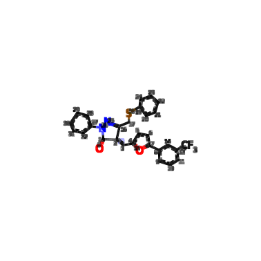 O=C1/C(=C/c2ccc(-c3cccc(C(F)(F)F)c3)o2)C(CSc2ccccc2)=NN1c1ccccc1